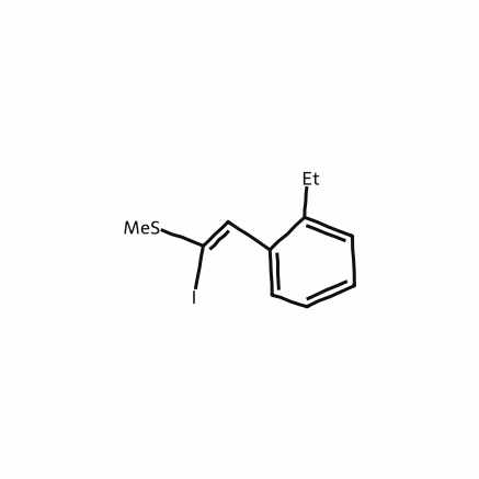 CCc1ccccc1C=C(I)SC